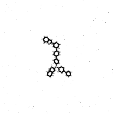 c1ccc(-c2ccc(N(c3ccc(-c4ccc(-c5cccc(-c6cc7ccccc7o6)c5)cc4)cc3)c3ccc4ccccc4c3)cc2)cc1